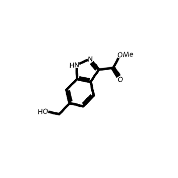 COC(=O)c1n[nH]c2cc(CO)ccc12